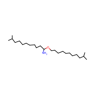 CC(C)CCCCCCCCCOC(N)CCCCCCCCC(C)C